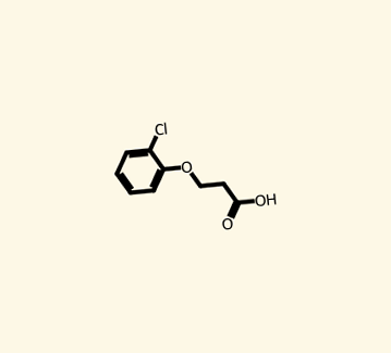 O=C(O)CCOc1ccccc1Cl